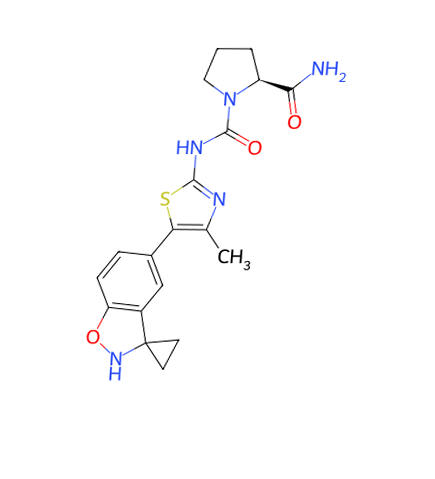 Cc1nc(NC(=O)N2CCC[C@H]2C(N)=O)sc1-c1ccc2c(c1)C1(CC1)NO2